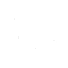 CCC(=O)C=C(O)C(=O)O